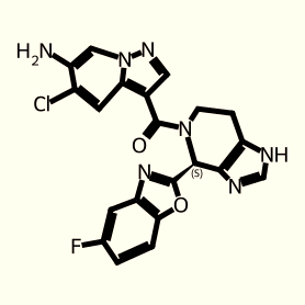 Nc1cn2ncc(C(=O)N3CCc4[nH]cnc4[C@H]3c3nc4cc(F)ccc4o3)c2cc1Cl